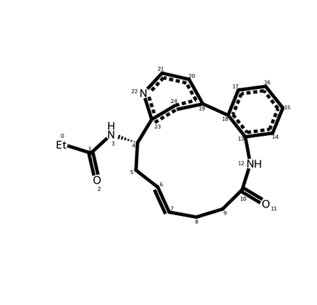 CCC(=O)N[C@H]1C/C=C/CCC(=O)Nc2ccccc2-c2ccnc1c2